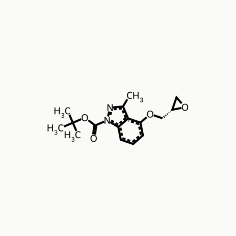 Cc1nn(C(=O)OC(C)(C)C)c2cccc(OC[C@@H]3CO3)c12